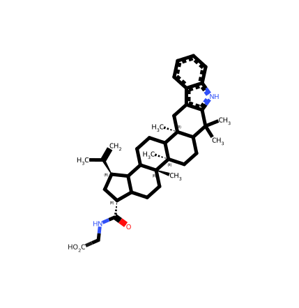 C=C(C)[C@@H]1C[C@@H](C(=O)NCC(=O)O)C2CC[C@]3(C)C(CCC4[C@@]5(C)Cc6c([nH]c7ccccc67)C(C)(C)C5CC[C@]43C)C21